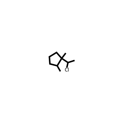 CC(Cl)C1(C)CCCC1C